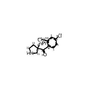 CCCC1(C(=O)c2ccc(Cl)cc2Cl)CCNC1